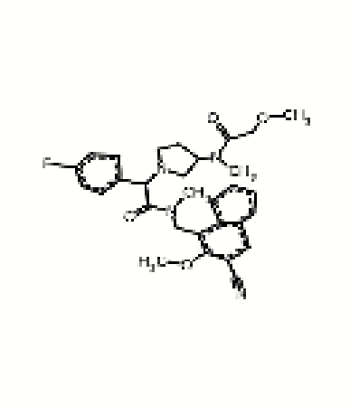 COCC(=O)N(C)C1CCN(C(C(=O)N(C)Cc2c(OC)c(C#N)cc3ccccc23)c2ccc(F)cc2)C1